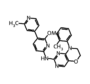 COc1nc(Nc2ncc3c(n2)N(c2ccccc2C)CCO3)ccc1-c1ccnc(C)c1